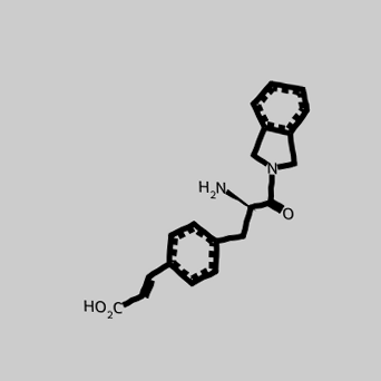 N[C@H](Cc1ccc(/C=C/C(=O)O)cc1)C(=O)N1Cc2ccccc2C1